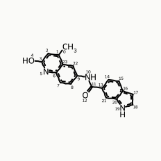 Cc1cc(O)nc2ccc(NC(=O)c3ccc4cc[nH]c4c3)cc12